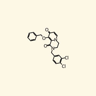 O=C1c2c(OCc3ccccc3)c(=O)ccn2CCN1Cc1ccc(Cl)c(Cl)c1